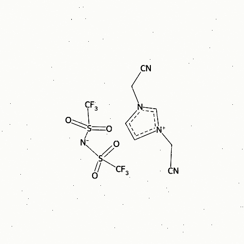 N#CCn1cc[n+](CC#N)c1.O=S(=O)([N-]S(=O)(=O)C(F)(F)F)C(F)(F)F